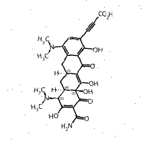 CN(C)c1cc(C#CC(=O)O)c(O)c2c1C[C@@H]1C[C@@H]3[C@H](N(C)C)C(O)=C(C(N)=O)C(=O)[C@@]3(O)C(O)=C1C2=O